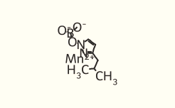 CC(C)Cc1ccn(OB([O-])[O-])n1.[Mn+2]